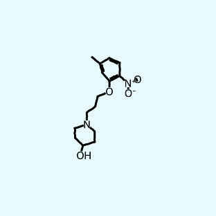 Cc1ccc([N+](=O)[O-])c(OCCCN2CCC(O)CC2)c1